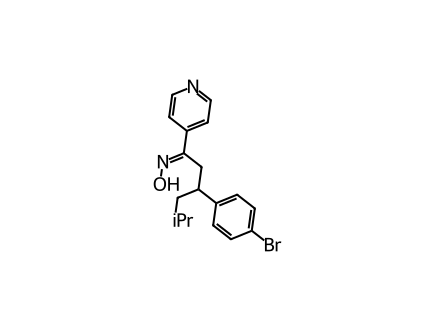 CC(C)CC(CC(=NO)c1ccncc1)c1ccc(Br)cc1